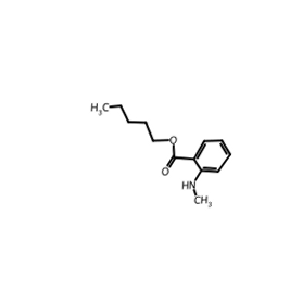 CCCCCOC(=O)c1ccccc1NC